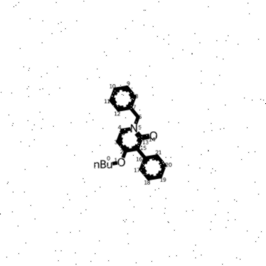 CCCCOc1ccn(Cc2ccccc2)c(=O)c1-c1ccccc1